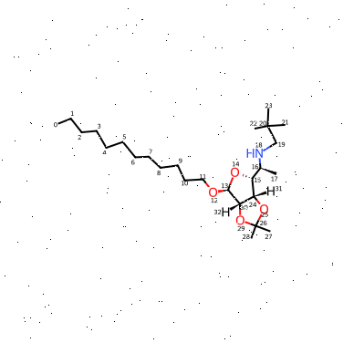 CCCCCCCCCCCCO[C@H]1O[C@H]([C@H](C)NCC(C)(C)C)[C@@H]2OC(C)(C)O[C@H]12